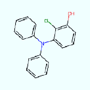 Oc1cccc(N(c2ccccc2)c2ccccc2)c1Cl